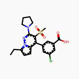 CCc1ccc2c(-c3cc(Br)cc(C(=O)O)c3)c(S(C)(=O)=O)c(N3CCCC3)nn12